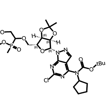 CCOP(C)(=O)C(CO)OC[C@H]1O[C@@H](n2ncc3c(N(C(=O)OC(C)(C)C)C4CCCC4)nc(Cl)nc32)[C@@H]2OC(C)(C)O[C@@H]21